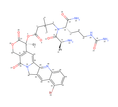 CC[C@@]1(OC(=O)CC(C)(C)CN(C(=O)[C@@H](N)C(C)C)[C@@H](CCCNC(N)=O)C(N)=O)C(=O)OCc2c1cc1n(c2=O)Cc2cc3c(Br)cccc3nc2-1